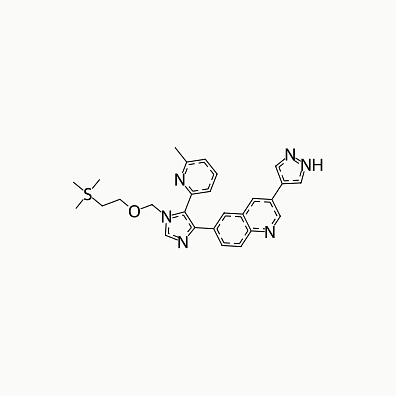 Cc1cccc(-c2c(-c3ccc4ncc(-c5cn[nH]c5)cc4c3)ncn2COCCS(C)(C)C)n1